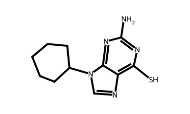 Nc1nc(S)c2ncn(C3CCCCC3)c2n1